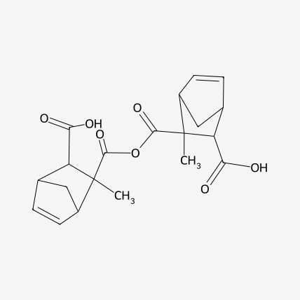 CC1(C(=O)OC(=O)C2(C)C3C=CC(C3)C2C(=O)O)C2C=CC(C2)C1C(=O)O